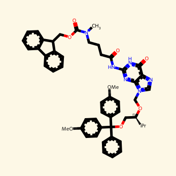 COc1ccc(C(OC[C@@H](OCn2cnc3c(=O)[nH]c(NC(=O)CCCN(C)C(=O)OCC4c5ccccc5-c5ccccc54)nc32)C(C)C)(c2ccccc2)c2ccc(OC)cc2)cc1